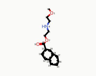 COCCNCCOC(=O)c1ccc2ccccc2c1